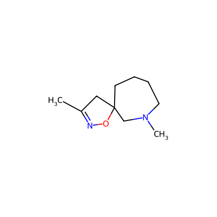 CC1=NOC2(CCCCN(C)C2)C1